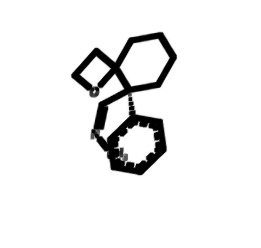 C/N=C\[C@]1(c2ccccc2)CCCCC12CCO2